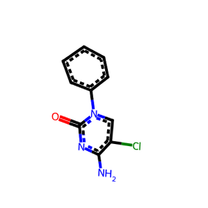 Nc1nc(=O)n(-c2ccccc2)cc1Cl